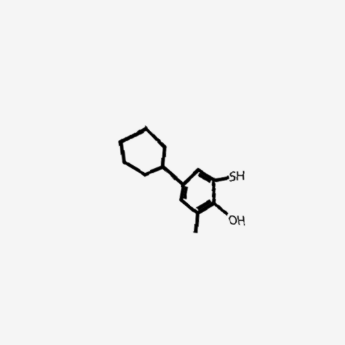 Cc1cc(C2CCCCC2)cc(S)c1O